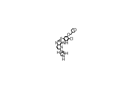 Fc1cc(OCC2CCOC2)c(Cl)cc1Nc1ncnc2ccc(N3C[C@@H]4C[C@H]3CN4)nc12